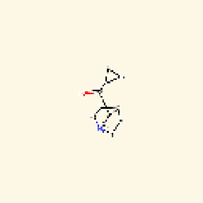 O=C(C1CC1)C1CN2CCC1CC2